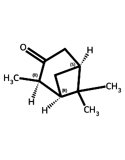 C[C@H]1C(=O)C[C@@H]2C[C@H]1C2(C)C